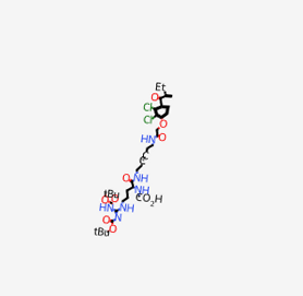 C=C(CC)C(=O)c1ccc(OCC(=O)NCCCCCCNC(=O)C(CCCN/C(=N/C(=O)OC(C)(C)C)NC(=O)OC(C)(C)C)NC(=O)O)c(Cl)c1Cl